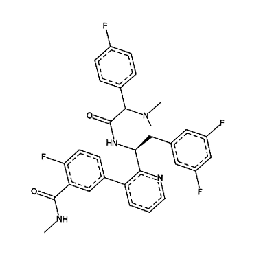 CNC(=O)c1cc(-c2cccnc2[C@H](Cc2cc(F)cc(F)c2)NC(=O)C(c2ccc(F)cc2)N(C)C)ccc1F